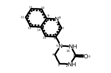 O=C1NCCN(c2cnc3ccccc3c2)N1